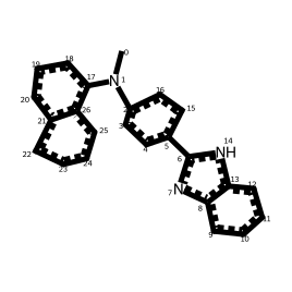 CN(c1ccc(-c2nc3ccccc3[nH]2)cc1)c1cccc2ccccc12